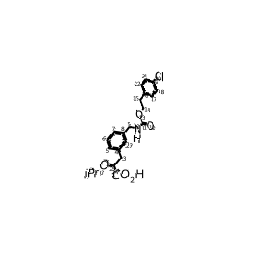 CC(C)OC(Cc1cccc(CNC(=O)OCCc2ccc(Cl)cc2)c1)C(=O)O